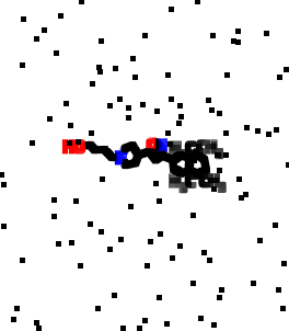 CC1(C)CCC(C)(C)c2cc(-c3cc(C4CCN(CCCCO)CC4)on3)ccc21